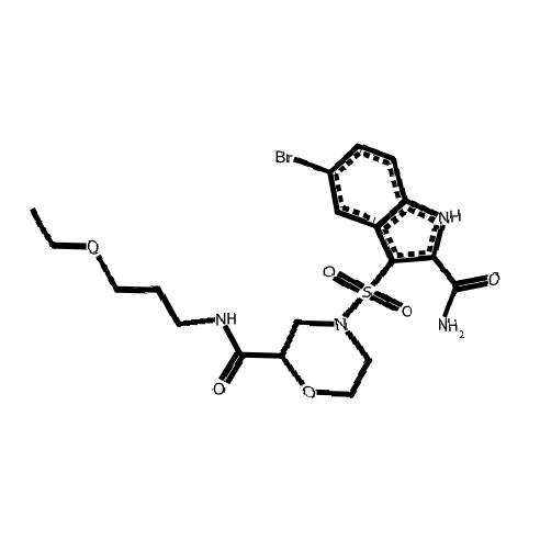 CCOCCCNC(=O)C1CN(S(=O)(=O)c2c(C(N)=O)[nH]c3ccc(Br)cc23)CCO1